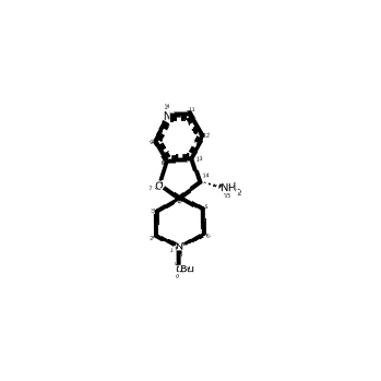 CC(C)(C)N1CCC2(CC1)Oc1cnccc1[C@@H]2N